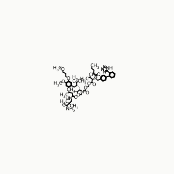 CCCCC(=O)N(Cc1ccc(-c2ccccc2-c2nnn[nH]2)cc1)C(C(=O)OCOC(=O)N1CO[C@@H](C[C@H](C(=O)NCC(C)(C)C(N)=O)C(C)C)[C@@H]1C[C@H](Cc1ccc(OC)c(OCCCOC)c1)C(C)C)C(C)C